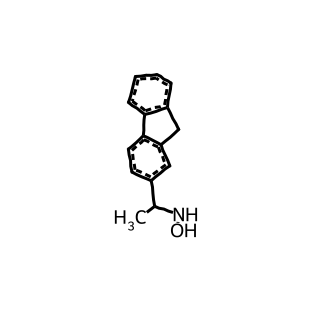 CC(NO)c1ccc2c(c1)Cc1ccccc1-2